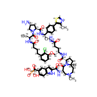 Cc1ncsc1-c1ccc([C@H](C)NC(=O)[C@@H]2C[C@@H](N)CN2C(=O)[C@@H](NC(=O)CCCc2cccc(OC[C@H](CCC(N)=O)NC(=O)[C@@H]3CC[C@@H]4CCN(C)C[C@H](NC(=O)c5cc6cc(C(=O)P(=O)(O)O)ccc6[nH]5)C(=O)N43)c2Cl)C(C)(C)C)cc1